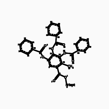 CCCCCCCOC(=O)c1cc(OC(=O)c2ccccc2)c(OC(=O)c2ccccc2)c(OC(=O)c2ccccc2)c1C